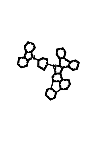 c1ccc2c(c1)-c1cccc3c1c-2cc1c3c2c3ccccc3c3ccccc3c2n1-c1ccc(-n2c3ccccc3c3ccccc32)cc1